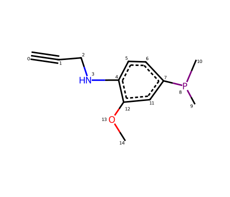 C#CCNc1ccc(P(C)C)cc1OC